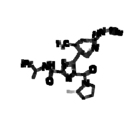 CC(C)C(C)NC(=O)c1nc(C(=O)N2CCC[C@@H]2C)c(-c2cnc(NC(C)(C)C)cc2C(F)(F)F)s1